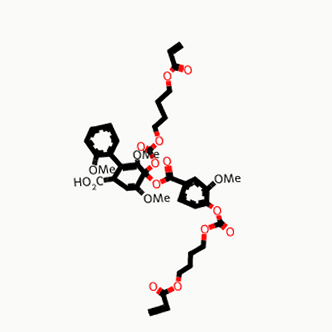 C=CC(=O)OCCCCOC(=O)Oc1ccc(C(=O)OC2(OC(=O)OCCCCOC(=O)C=C)C(OC)=CC(C(=O)O)C(c3ccccc3OC)=C2OC)cc1OC